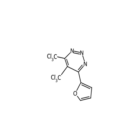 ClC(Cl)(Cl)c1nnnc(-c2ccco2)c1C(Cl)(Cl)Cl